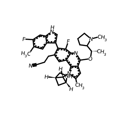 Cc1cc2c(-c3c(CCC#N)cc4c(nc(O[C@@H](C)C5CCCN5C)c5cc(C)n([C@H]6[C@H]7CN[C@@H]6C7)c54)c3F)c[nH]c2cc1F